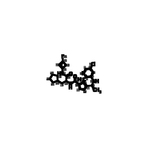 Cc1ncc(Cl)cc1NC(C)c1ccc(C(=O)NC(CC2CCCC2)C(=O)NC23CC(F)(C2)C3)s1